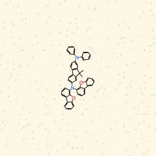 CC1(C)c2cc(N(c3ccccc3)c3ccccc3)ccc2-c2ccc(N(c3cccc4c3oc3ccccc34)c3cccc4c3oc3ccccc34)cc21